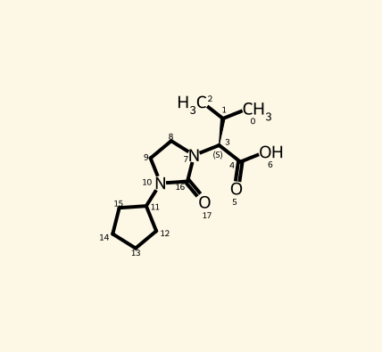 CC(C)[C@@H](C(=O)O)N1CCN(C2CCCC2)C1=O